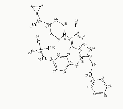 O=C(C1CC1)N1CCN(c2cc3c(cc2F)nc(COc2ccccc2)n3Cc2ccc(OC(F)(F)F)cc2)CC1